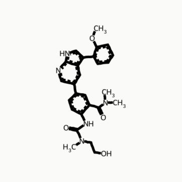 COc1ccccc1-c1c[nH]c2ncc(-c3ccc(NC(=O)N(C)CCO)c(C(=O)N(C)C)c3)cc12